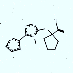 CCn1c(SC2(C(N)=O)CCCC2)nnc1-c1cccs1